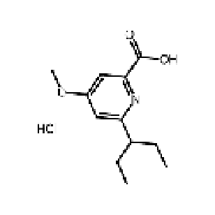 CCC(CC)c1cc(OC)cc(C(=O)O)n1.Cl